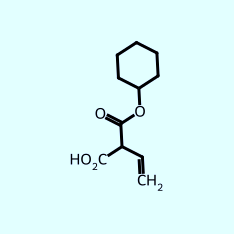 C=CC(C(=O)O)C(=O)OC1CCCCC1